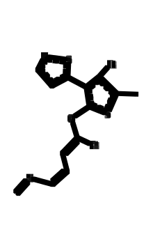 C=N/C=C\C=C(/CC)Oc1sc(C)c(CC)c1-c1ccns1